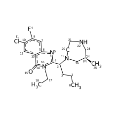 CCCC(c1nc2cc(F)c(Cl)cc2c(=O)n1CC)N1CCNC[C@@H](C)C1